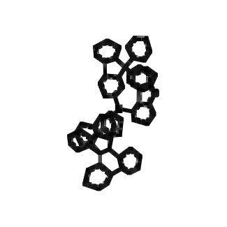 c1ccc(C2(c3ccccc3)c3ccccc3-c3ccc(N(c4cc5c6c(cccc6c4)C46c7ccccc7-c7ccccc7C54c4ccccc4-c4ccccc46)c4cccc5oc6ccccc6c45)cc32)cc1